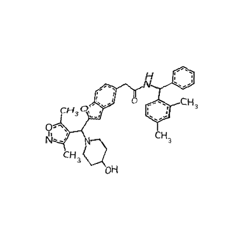 Cc1ccc(C(NC(=O)Cc2ccc3oc(C(c4c(C)noc4C)N4CCC(O)CC4)cc3c2)c2ccccc2)c(C)c1